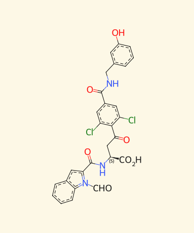 O=Cn1c(C(=O)N[C@@H](CC(=O)c2c(Cl)cc(C(=O)NCc3cccc(O)c3)cc2Cl)C(=O)O)cc2ccccc21